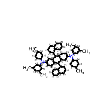 Cc1ccc(N(c2cc(C)cc(C)c2)c2ccc3c(-c4cccc5ccccc45)c4cc(N(c5ccc(C)cc5)c5cc(C)cc(C)c5)ccc4c(-c4cccc5ccccc45)c3c2)cc1